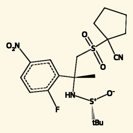 CC(C)(C)[S@@+]([O-])N[C@@](C)(CS(=O)(=O)C1(C#N)CCCC1)c1cc([N+](=O)[O-])ccc1F